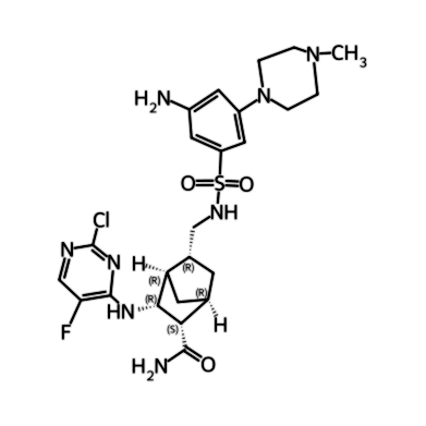 CN1CCN(c2cc(N)cc(S(=O)(=O)NC[C@@H]3C[C@@H]4C[C@H]3[C@@H](Nc3nc(Cl)ncc3F)[C@H]4C(N)=O)c2)CC1